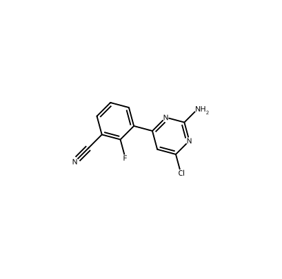 N#Cc1cccc(-c2cc(Cl)nc(N)n2)c1F